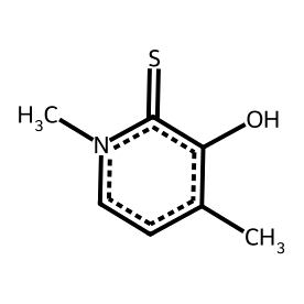 Cc1ccn(C)c(=S)c1O